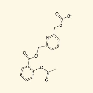 CC(=O)Oc1ccccc1C(=O)OCc1cccc(CO[N+](=O)[O-])n1